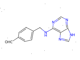 O=Cc1ccc(CNc2ncnc3[nH]cnc23)cc1